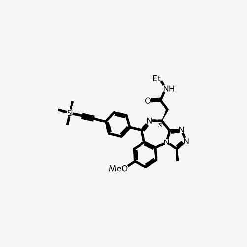 CCNC(=O)C[C@@H]1N=C(c2ccc(C#C[Si](C)(C)C)cc2)c2cc(OC)ccc2-n2c(C)nnc21